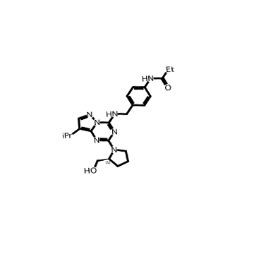 CCC(=O)Nc1ccc(CNc2nc(N3CCC[C@H]3CO)nc3c(C(C)C)cnn23)cc1